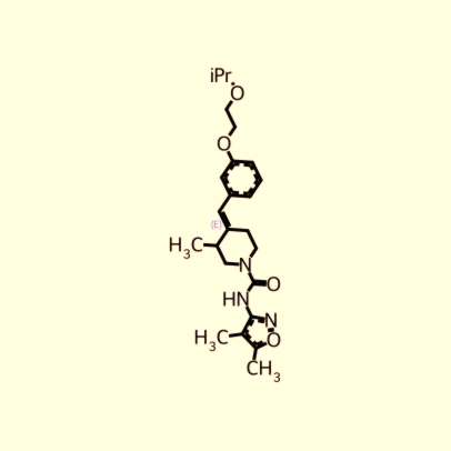 Cc1onc(NC(=O)N2CC/C(=C\c3cccc(OCCOC(C)C)c3)C(C)C2)c1C